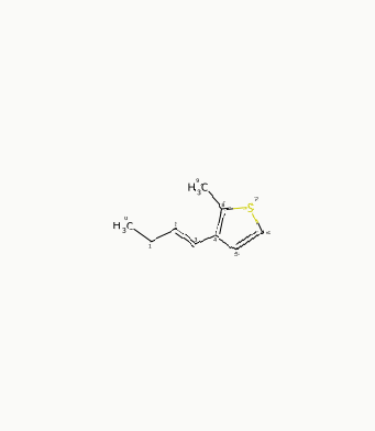 CC/C=C/c1ccsc1C